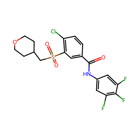 O=C(Nc1cc(F)c(F)c(F)c1)c1ccc(Cl)c(S(=O)(=O)CC2CCOCC2)c1